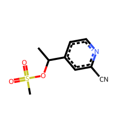 CC(OS(C)(=O)=O)c1ccnc(C#N)c1